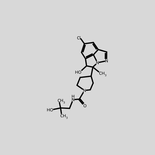 CC(C)(O)CNC(=O)N1CCC(C2(C)C(O)c3cc(Cl)cc4cnn2c34)CC1